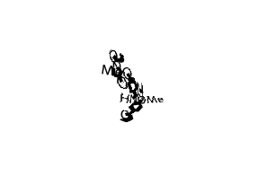 C=CC(=O)N1CCC(Oc2cc3c(Nc4cc(-c5ccco5)ccc4OC)ncnc3cc2OC)C1